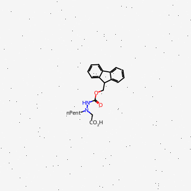 CCCCCN(CC(=O)O)NC(=O)OCC1c2ccccc2-c2ccccc21